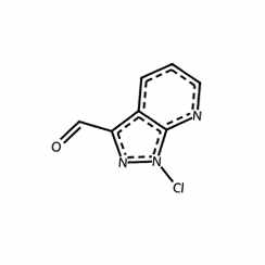 O=Cc1nn(Cl)c2ncccc12